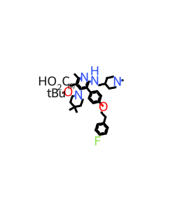 Cc1nc(NCC2CCN(C)CC2)c(-c2ccc(OCCc3ccc(F)cc3)cc2)c(N2CCC(C)(C)CC2)c1[C@H](OC(C)(C)C)C(=O)O